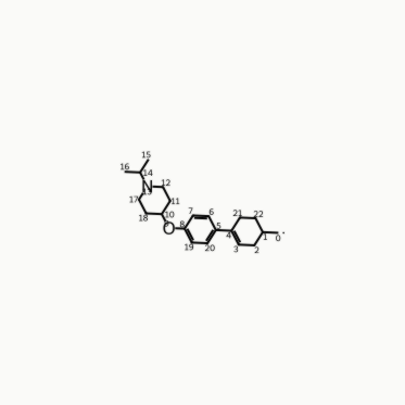 [CH2]C1CC=C(c2ccc(OC3CCN(C(C)C)CC3)cc2)CC1